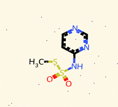 CSS(=O)(=O)Nc1ccncn1